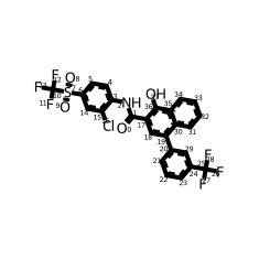 O=C(Nc1ccc(S(=O)(=O)C(F)(F)F)cc1Cl)c1cc(-c2cccc(C(F)(F)F)c2)c2ccccc2c1O